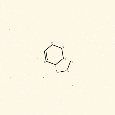 C1=CCCCC1.CCC